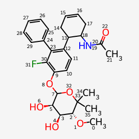 CO[C@@H]1[C@@H](O)[C@@H](O)C(Oc2ccc(C3CC=CCC3NC(C)=O)c(-c3ccccc3)c2F)OC1(C)C